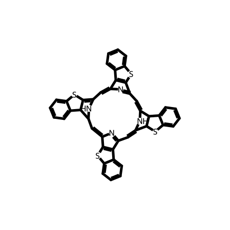 C1=C2N=C(/C=C3\N/C(=C\C4=NC(=C\C5=C6Sc7ccccc7C6C/1N5)/c1c4sc4ccccc14)C1c4ccccc4SC31)c1c\2sc2ccccc12